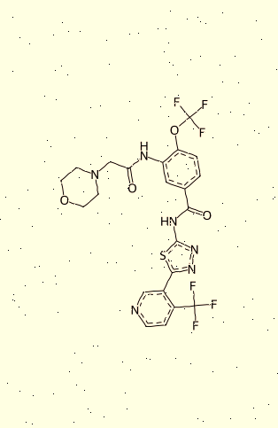 O=C(CN1CCOCC1)Nc1cc(C(=O)Nc2nnc(-c3cnccc3C(F)(F)F)s2)ccc1OC(F)(F)F